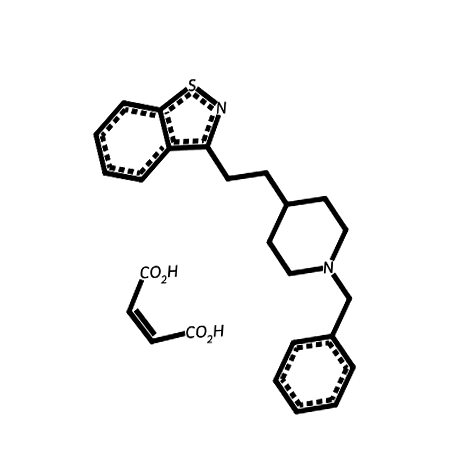 O=C(O)/C=C\C(=O)O.c1ccc(CN2CCC(CCc3nsc4ccccc34)CC2)cc1